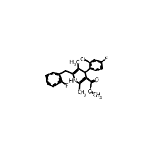 COC(=O)C1=C(C)NC(Cc2ccccc2F)=C(C)C1c1ccc(F)cc1Cl